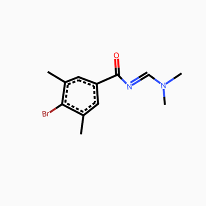 Cc1cc(C(=O)N=CN(C)C)cc(C)c1Br